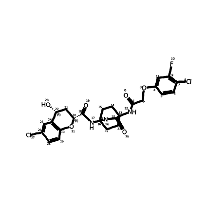 O=C(COc1ccc(Cl)c(F)c1)NC12CCC(NC(=O)[C@H]3C[C@@H](O)c4cc(Cl)ccc4O3)(CC1)NC2=O